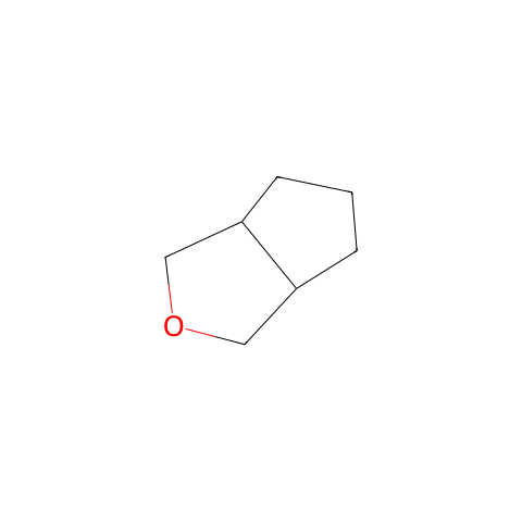 C1CC2COCC2C1